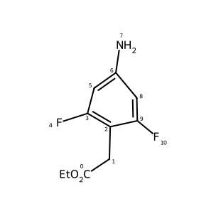 CCOC(=O)Cc1c(F)cc(N)cc1F